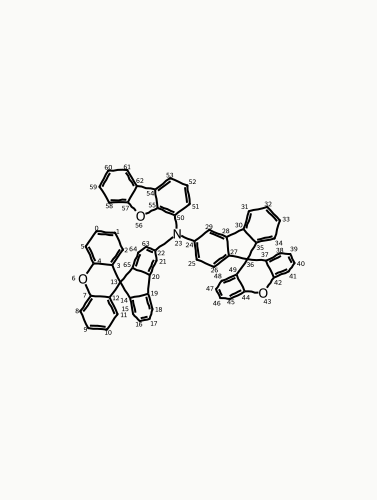 c1ccc2c(c1)Oc1ccccc1C21c2ccccc2-c2cc(N(c3ccc4c(c3)-c3ccccc3C43c4ccccc4Oc4ccccc43)c3cccc4c3oc3ccccc34)ccc21